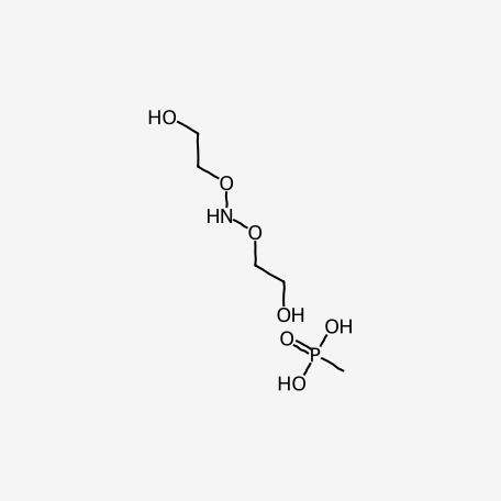 CP(=O)(O)O.OCCONOCCO